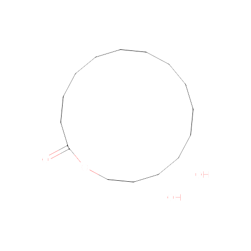 O=C1CCCCCCCCCC[C@H](O)[C@H](O)CCO1